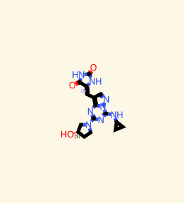 O=C1NC(=O)/C(=C/c2cnn3c(NC4CC4)nc(N4CC[C@H](O)C4)nc23)N1